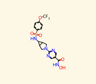 O=C(NO)c1cnc(N2CC3C(C2)C3NS(=O)(=O)c2ccc(OC(F)(F)F)cc2)nc1